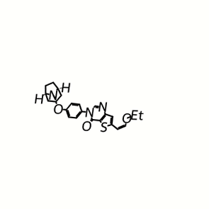 CCO/C=C\c1cc2ncn(-c3ccc(OC4C[C@H]5CC[C@@H](C4)N5C)cc3)c(=O)c2s1